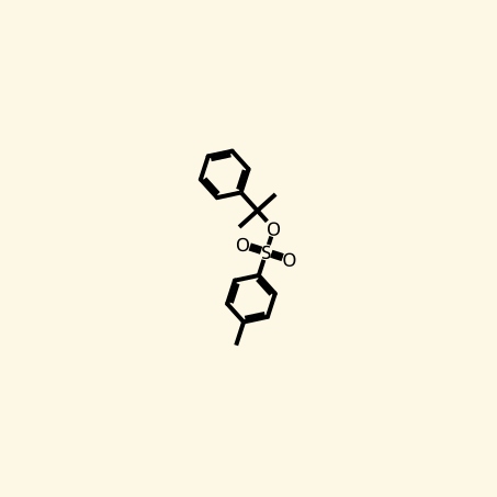 Cc1ccc(S(=O)(=O)OC(C)(C)c2ccccc2)cc1